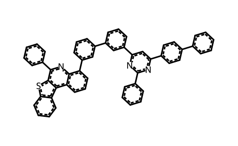 c1ccc(-c2ccc(-c3cc(-c4cccc(-c5cccc(-c6cccc7c6nc(-c6ccccc6)c6sc8ccccc8c67)c5)c4)nc(-c4ccccc4)n3)cc2)cc1